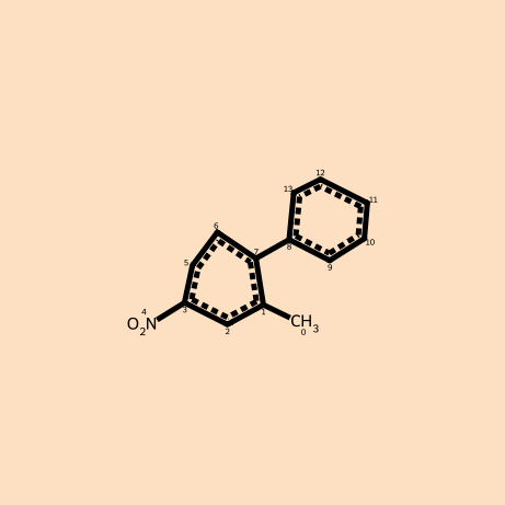 Cc1[c]c([N+](=O)[O-])ccc1-c1ccccc1